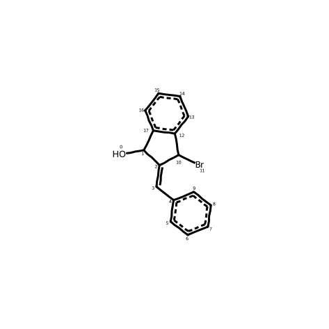 OC1/C(=C/c2ccccc2)C(Br)c2ccccc21